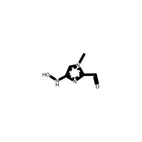 Cn1cc(NO)nc1C=O